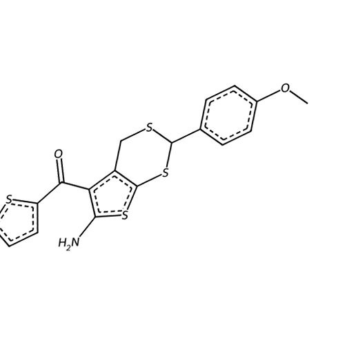 COc1ccc(C2SCc3c(sc(N)c3C(=O)c3cccs3)S2)cc1